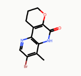 Cc1c(Br)cnc2c3c(c(=O)[nH]c12)OCCC3